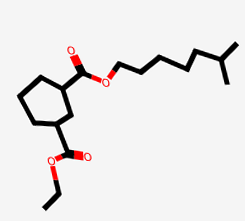 CCOC(=O)C1CCCC(C(=O)OCCCCCC(C)C)C1